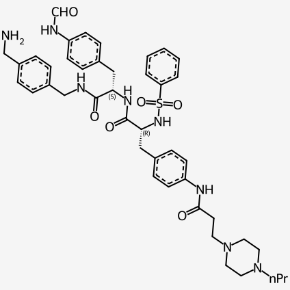 CCCN1CCN(CCC(=O)Nc2ccc(C[C@@H](NS(=O)(=O)c3ccccc3)C(=O)N[C@@H](Cc3ccc(NC=O)cc3)C(=O)NCc3ccc(CN)cc3)cc2)CC1